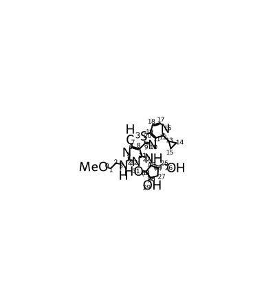 COCCNc1nc(C)c(-c2nc3c(C4CC4)nccc3s2)c(N[C@@H]2[C@H](CO)C[C@@H](O)[C@H]2O)n1